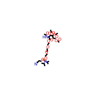 CC(=O)NC1C(OC(C)=O)[C@@H](OC(C)=O)C(COC(C)=O)O[C@H]1OCCOCCOCCOP(OCCC#N)N(C(C)C)C(C)C